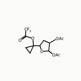 CC(=O)OC1CC(C2(OC(=O)C(F)(F)F)CC2)OC1OC(C)=O